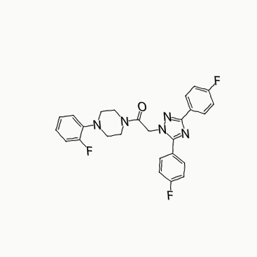 O=C(Cn1nc(-c2ccc(F)cc2)nc1-c1ccc(F)cc1)N1CCN(c2ccccc2F)CC1